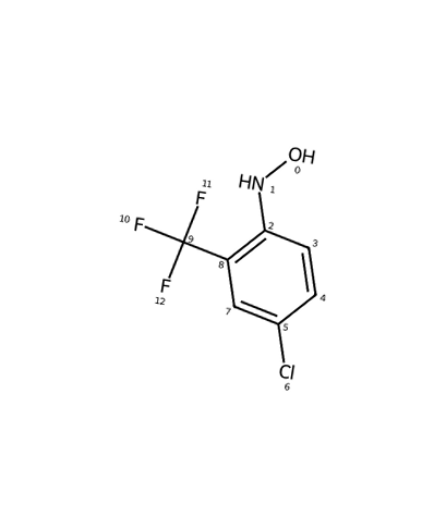 ONc1ccc(Cl)cc1C(F)(F)F